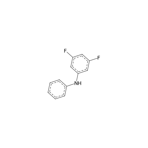 Fc1cc(F)cc(Nc2ccccc2)c1